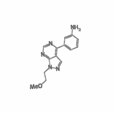 COCCn1ncc2c(-c3cccc(N)c3)ncnc21